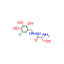 NC(CO)C(=O)NNCc1cc(F)c(O)c(O)c1O